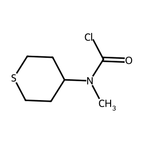 CN(C(=O)Cl)C1CCSCC1